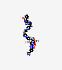 Cc1ncsc1-c1ccc([C@H](C)NC(=O)[C@@H]2C[C@@H](O)CN2C(=O)[C@@H](c2cc(N3CCC(CN4CCC(O[C@H]5C[C@H](N6CCC(C(C)c7cn(-c8cc(-c9ccccc9O)nnc8N)cn7)CC6)C5)CC4)CC3)no2)C(C)C)cc1